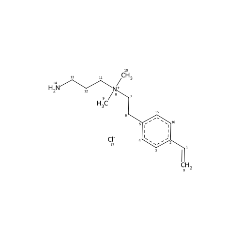 C=Cc1ccc(CC[N+](C)(C)CCCN)cc1.[Cl-]